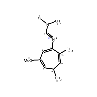 CCN(C)/C=N/C1=CC(OC)=CC(C)C=C1C